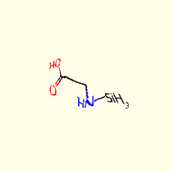 O=C(O)CN[SiH3]